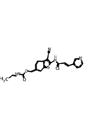 CCCNC(=O)OCC1CCc2c(sc(NC(=O)C=Cc3cccnc3)c2C#N)C1